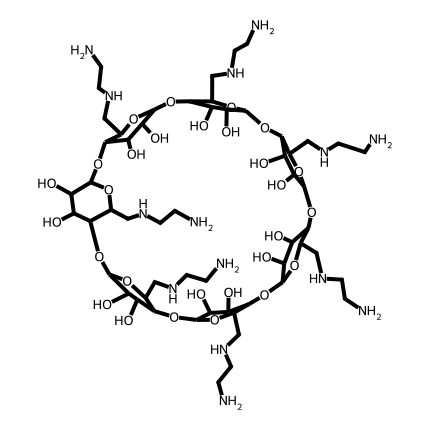 NCCNCC1OC2OC3C(CNCCN)OC(OC4C(CNCCN)OC(OC5C(CNCCN)OC(OC6C(CNCCN)OC(OC7C(CNCCN)OC(OC8C(CNCCN)OC(OC1C(O)C2O)C(O)C8O)C(O)C7O)C(O)C6O)C(O)C5O)C(O)C4O)C(O)C3O